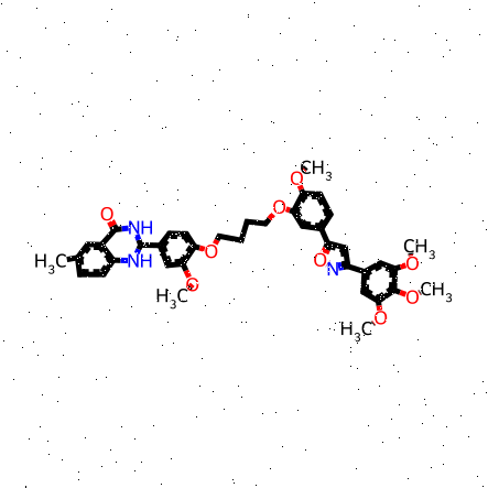 COc1cc(C2NC(=O)c3cc(C)ccc3N2)ccc1OCCCCOc1cc(-c2cc(-c3cc(OC)c(OC)c(OC)c3)no2)ccc1OC